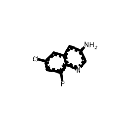 Nc1cnc2c(F)cc(Cl)cc2c1